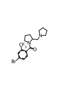 O=C(c1ccc(Br)cc1C(F)(F)F)N1CCCC1CN1CCCC1